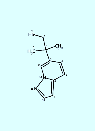 CC(C)(CS)c1ccc2ccnn2c1